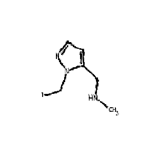 CNCc1ccnn1CI